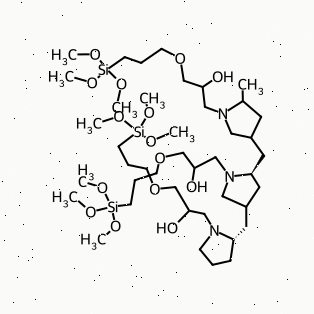 CO[Si](CCCOCC(O)CN1CC(C[C@H]2CC(C[C@@H]3CCCN3CC(O)COCCC[Si](OC)(OC)OC)CN2CC(O)COCCC[Si](OC)(OC)OC)CC1C)(OC)OC